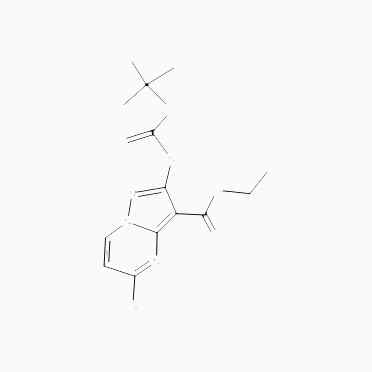 CCOC(=O)c1c(NC(=O)OC(C)(C)C)nn2ccc(Br)nc12